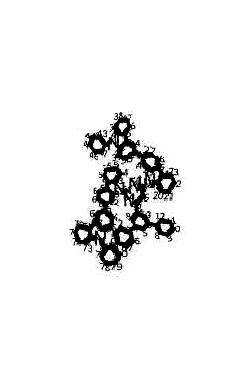 c1ccc(-c2cc(-c3ccccc3)cc(-c3cc(-n4c5ccccc5c5ccc(-c6ccc7c(c6)c6ccccc6n7-c6ccccc6)cc54)nc(-n4c5ccccc5c5ccc(-c6ccc7c(c6)c6ccccc6n7-c6ccccc6)cc54)n3)c2)cc1